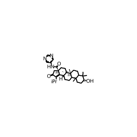 CC(C)C1=C2[C@H]3CCC4[C@@]5(C)CC[C@H](O)C(C)(C)C5CC[C@@]4(C)[C@]3(C)CC[C@@]2(C(=O)Nc2cncnc2)CC1=O